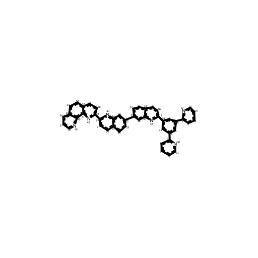 c1ccc(-c2cc(-c3ccccn3)cc(-c3ccc4ccc(-c5ccc6ccc(-c7ccc8ccc9cccnc9c8n7)nc6c5)cc4n3)c2)nc1